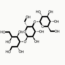 OC[C@@H](O)[C@@H](O[C@H]1O[C@H](CO)C(O[C@H]2O[C@H](CO)[C@@H](O)[C@H](O)[C@H]2O)[C@H](O)[C@H]1O)[C@H](O)[C@@H](O)CO